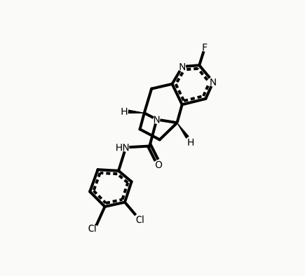 O=C(Nc1ccc(Cl)c(Cl)c1)N1[C@@H]2CC[C@H]1c1cnc(F)nc1C2